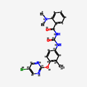 CCN(CC)c1ccccc1C(=O)NC(=O)Nc1ccc(Oc2ncc(Br)cn2)c(C)c1